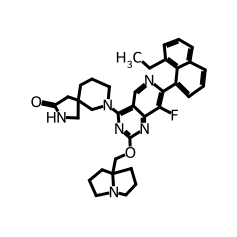 CCc1cccc2cccc(-c3ncc4c(N5CCCC6(CNC(=O)C6)C5)nc(OCC56CCCN5CCC6)nc4c3F)c12